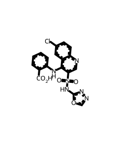 O=C(O)c1ccccc1Nc1c(S(=O)(=O)Nc2nnco2)cnc2ccc(Cl)cc12